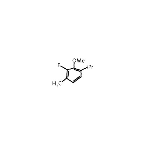 COc1c(C(C)C)ccc(C)c1F